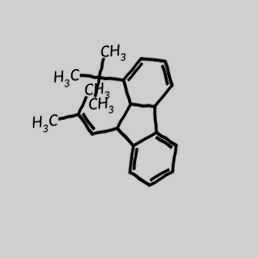 CC(C)=CC1c2ccccc2C2C=CC=C(C(C)(C)C)C21